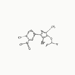 Cn1nc(-c2ccc(Cl)c([N+](=O)[O-])c2)c(Br)c1OC(F)F